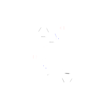 COc1ccccc1OC[C@@H](C)NC[C@@H](O)COc1cnc(O)c2ccccc12